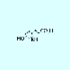 O=C(O)/C=C/c1ccc(O)cc1.[KH]